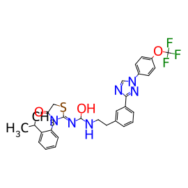 CC(C)c1ccccc1N1C(=O)CS/C1=N\C(O)NCCc1cccc(-c2ncn(-c3ccc(OC(F)(F)F)cc3)n2)c1